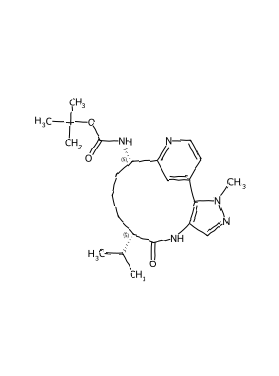 CC(C)[C@@H]1CCC[C@H](NC(=O)OC(C)(C)C)c2cc(ccn2)-c2c(cnn2C)NC1=O